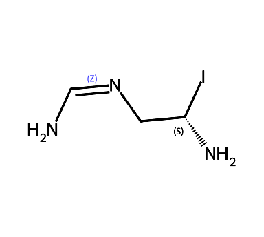 N/C=N\C[C@@H](N)I